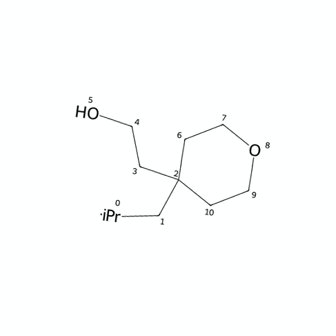 C[C](C)CC1(CCO)CCOCC1